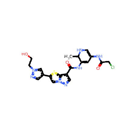 CC1NC=C(NC(=O)CCl)C=C1NC(=O)c1cnn2cc(-c3cnn(CCO)c3)sc12